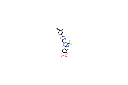 Cc1cc(-c2nnc(CN3CC(c4ccc5c(c4C)COC5=O)NC(C(F)F)C3)o2)ncc1C#N